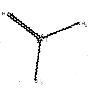 CCCCCCCCCCCCCCCCCCCCCCCCCP(=S)(CCCCCCCCCCCCCCCCCCCCCCCCC)NP(=S)(CCCCCCCCCCCCCCCCCCCCCCCCC)CCCCCCCCCCCCCCCCCCCCCCCCC